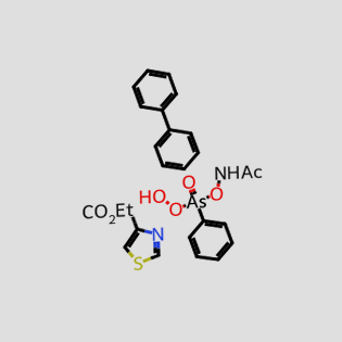 CC(=O)NO[As](=O)(OO)c1ccccc1.CCOC(=O)c1cscn1.c1ccc(-c2ccccc2)cc1